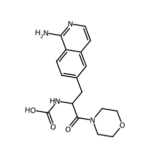 Nc1nccc2cc(CC(NC(=O)O)C(=O)N3CCOCC3)ccc12